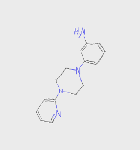 Nc1cccc(N2CCN(c3ccccn3)CC2)c1